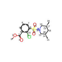 COC(=O)c1cccc(S(=O)(=O)N2C[C@H](C)C[C@H](C)C2)c1Cl